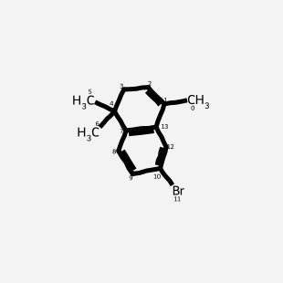 CC1=CCC(C)(C)c2ccc(Br)cc21